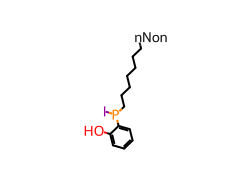 CCCCCCCCCCCCCCCCP(I)c1ccccc1O